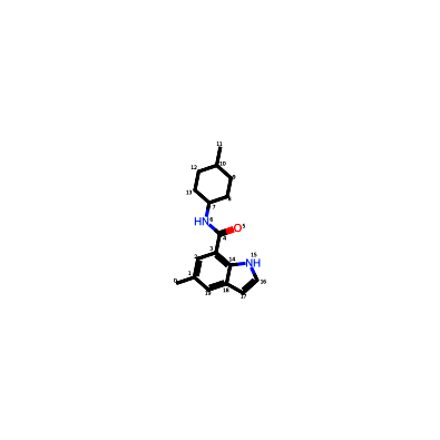 Cc1cc(C(=O)NC2CCC(C)CC2)c2[nH]ccc2c1